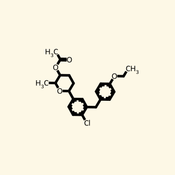 CCOc1ccc(Cc2cc(C3CCC(OC(C)=O)C(C)O3)ccc2Cl)cc1